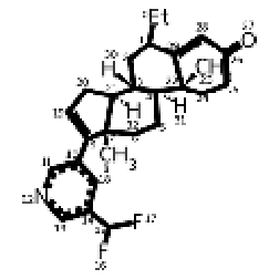 CCC1C[C@@H]2[C@H](CC[C@]3(C)C(c4cncc(C(F)F)c4)=CC[C@@H]23)[C@@]2(C)CCC(=O)C=C12